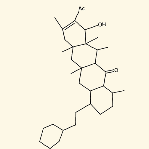 CC(=O)C1=C(C)CC2(C)CC3(C)CC4C(CCC5CCCCC5)CCC(C)C4C(=O)C3C(C)C2(C)C1O